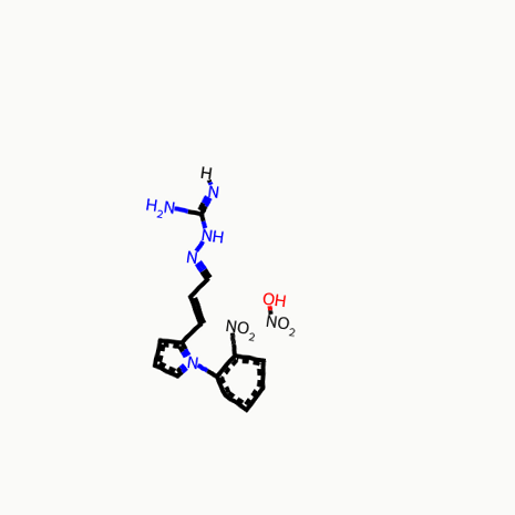 O=[N+]([O-])O.[H]/N=C(\N)NN=CC=Cc1cccn1-c1ccccc1[N+](=O)[O-]